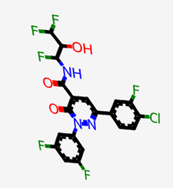 O=C(NC(F)C(O)C(F)F)c1cc(-c2ccc(Cl)c(F)c2)nn(-c2cc(F)cc(F)c2)c1=O